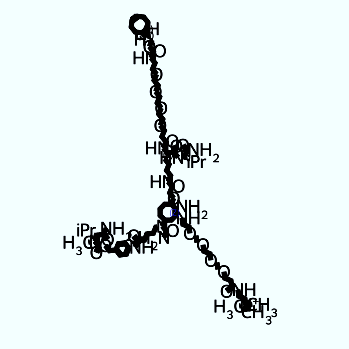 CC(C)[C@H](NC(=O)[C@@H](CCCCNC(=O)COC1CCCC(N(CCCCC(=O)Nc2ccc(COC(=O)N(C)[C@H](C(N)=O)C(C)C)cc2)C(N)=O)C/C(NCCOCCOCCOCCOCCC(=O)NCC[N+](C)(C)C)=C\1N)NC(=O)CCOCCOCCOCCOCCNC(=O)OC[C@@H]1[C@@H]2CCC#CCC[C@@H]21)C(N)=O